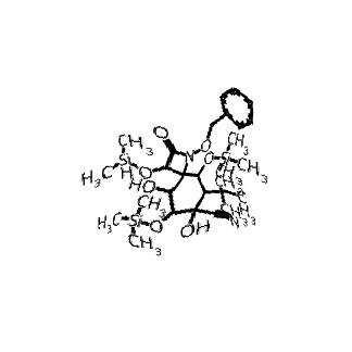 C[SiH](C)OC1C(=O)N(OCc2ccccc2)C12C(O)C(O[Si](C)(C)C)C(O)(C#N)C(C(C)(C)C)C2O[Si](C)(C)C